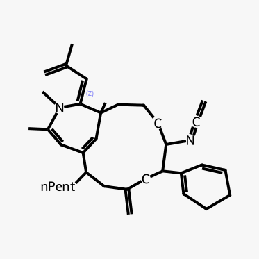 C=C=NC1CCCC2(C)C=C(C=C(C)N(C)/C2=C\C(=C)C)C(CCCCC)CC(=C)CC1C1=CCCC=C1